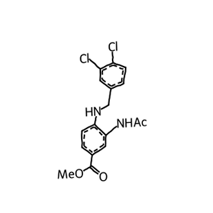 COC(=O)c1ccc(NCc2ccc(Cl)c(Cl)c2)c(NC(C)=O)c1